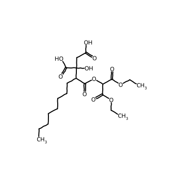 CCCCCCCCC(C(=O)OC(C(=O)OCC)C(=O)OCC)C(O)(CC(=O)O)C(=O)O